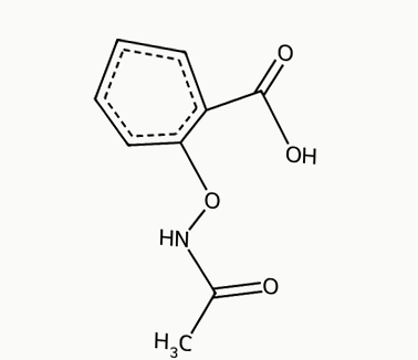 CC(=O)NOc1ccccc1C(=O)O